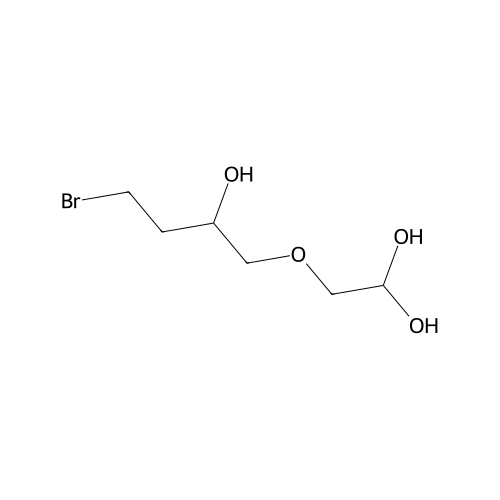 OC(O)COCC(O)CCBr